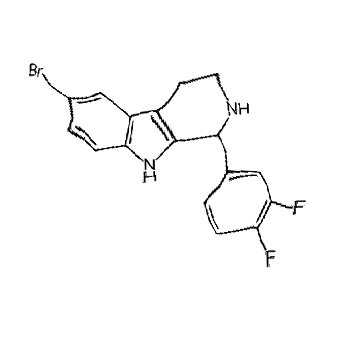 Fc1ccc(C2NCCc3c2[nH]c2ccc(Br)cc32)cc1F